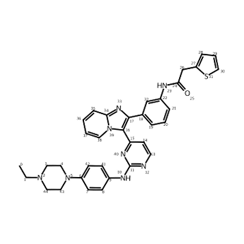 CCN1CCN(c2ccc(Nc3nccc(-c4c(-c5cccc(NC(=O)Cc6cccs6)c5)nc5ccccn45)n3)cc2)CC1